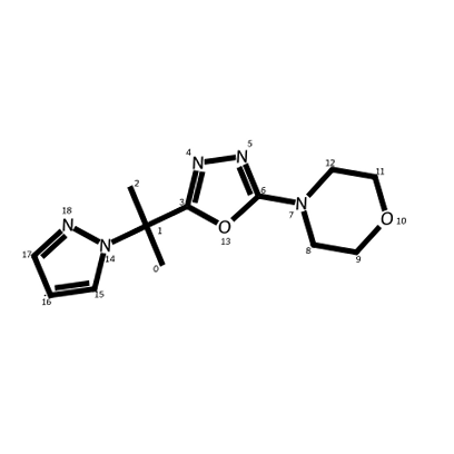 CC(C)(c1nnc(N2CCOCC2)o1)n1c[c]cn1